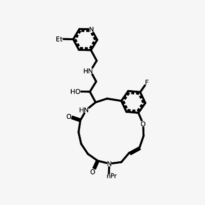 CCCN1C/C=C/COc2cc(F)cc(c2)CC(C(O)CNCc2cncc(CC)c2)NC(=O)CCCC1=O